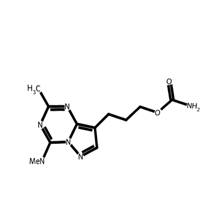 CNc1nc(C)nc2c(CCCOC(N)=O)cnn12